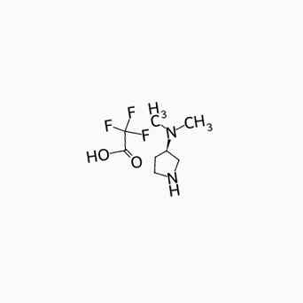 CN(C)[C@@H]1CCNC1.O=C(O)C(F)(F)F